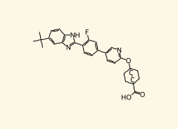 CC(C)(C)c1ccc2[nH]c(-c3ccc(-c4ccc(OC56CCC(C(=O)O)(CC5)CC6)nc4)cc3F)nc2c1